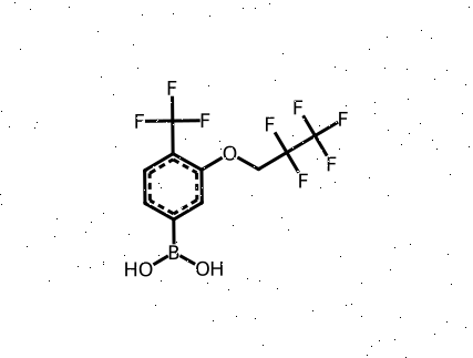 OB(O)c1ccc(C(F)(F)F)c(OCC(F)(F)C(F)(F)F)c1